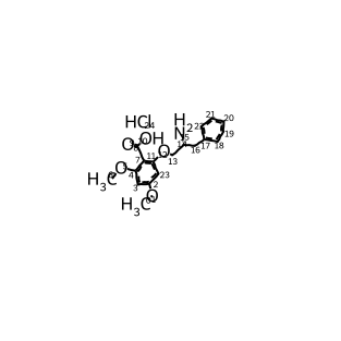 COc1cc(OC)c(C(=O)O)c(OC[C@H](N)Cc2ccccc2)c1.Cl